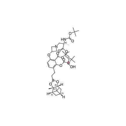 CC(C)(C)OC(=O)N[C@](C)(CN1CC(Oc2ccc(CCB3O[C@@H]4C[C@@H]5C[C@@H](C5(C)C)[C@]4(C)O3)c(OC(=O)OC(C)(C)C)c2C(=O)OC(C)(C)C)C1)C(=O)OCCCO